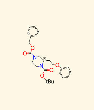 CC(C)(C)OC(=O)N1CCN(C(=O)OCc2ccccc2)C[C@H]1CCOc1ccccc1